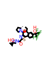 CC[C@H](F)c1cc(C(O)(C(F)(F)F)C(F)(F)F)ccc1-c1sc(C(=O)NCC2(O)CC2)nc1C(=O)N1CCC[C@@H]1C